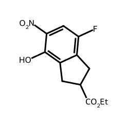 CCOC(=O)C1Cc2c(F)cc([N+](=O)[O-])c(O)c2C1